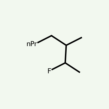 CCCCC(C)C(C)F